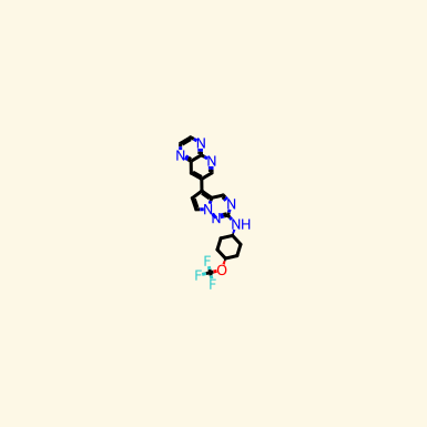 FC(F)(F)O[C@H]1CC[C@@H](Nc2ncc3c(-c4cnc5nccnc5c4)ccn3n2)CC1